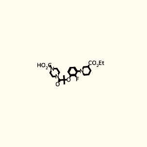 CCOC(=O)C1CCCN(c2cccc(OC(C)(C)C(=O)N3CCN(C(=O)O)CC3)c2F)C1